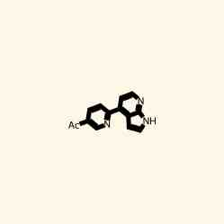 CC(=O)c1ccc(-c2ccnc3[nH]ccc23)nc1